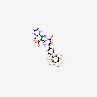 BC1(B)C(B)(B)C(B)(B)C(B)(c2ccc(-c3cc(=O)n4nc(-c5nccnc5C)c(C(=O)O)c4[nH]3)cc2)C(B)(B)C1(B)B